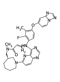 C=CC(=O)N(C)C[C@@H]1CCCCN(c2ccc3ncnc(Nc4ccc(Oc5ccn6ncnc6c5)c(C)c4F)c3n2)C1